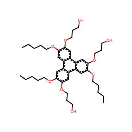 CCCCCOc1cc2c(cc1OCCCO)c1cc(OCCCO)c(OCCCCC)cc1c1cc(OCCCCC)c(OCCCO)cc21